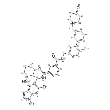 CCc1nc2c(cnn2CC)c(NC2CCOCC2)c1CNC(=O)c1cccc(C(=O)NCc2ccc(F)c(-c3cccc(CN4CCC(=O)CC4)c3)c2)c1